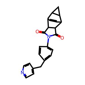 O=C1C2C3C=CC(C4CC34)C2C(=O)N1c1ccc(Cc2ccncc2)cc1